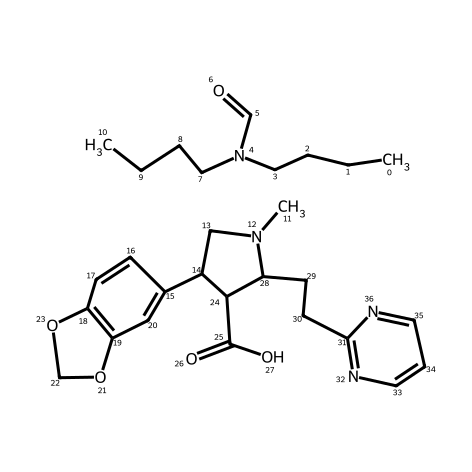 CCCCN(C=O)CCCC.CN1CC(c2ccc3c(c2)OCO3)C(C(=O)O)C1CCc1ncccn1